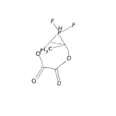 CC12OC(=O)C(=O)OC1[PH]2(F)F